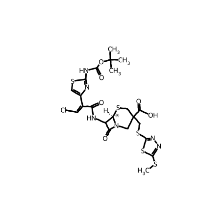 CSc1nnc(SCC2(C(=O)O)CS[C@@H]3C(NC(=O)C(=CCl)c4csc(NC(=O)OC(C)(C)C)n4)C(=O)N3C2)s1